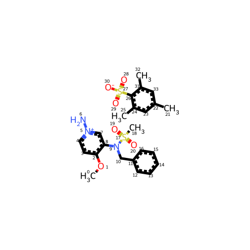 COc1cc[n+](N)cc1N(Cc1ccccc1)S(C)(=O)=O.Cc1cc(C)c(S(=O)(=O)[O-])c(C)c1